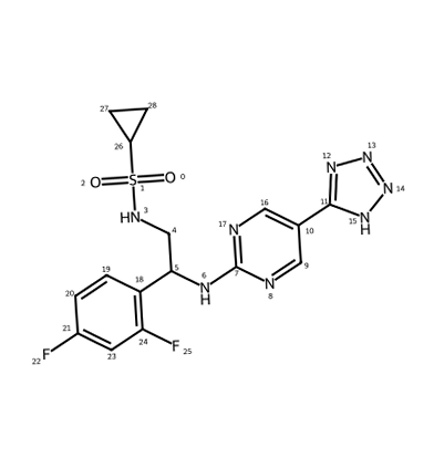 O=S(=O)(NCC(Nc1ncc(-c2nnn[nH]2)cn1)c1ccc(F)cc1F)C1CC1